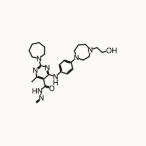 C=NNC(=O)c1c(C)nc(N2CCCCCC2)nc1Nc1ccc(N2CCCN(CCO)CC2)cc1